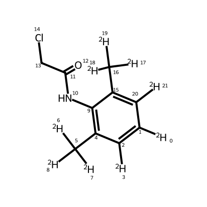 [2H]c1c([2H])c(C([2H])([2H])[2H])c(NC(=O)CCl)c(C([2H])([2H])[2H])c1[2H]